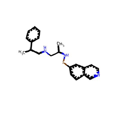 CC(CNCC(C)c1ccccc1)NSc1ccc2cnccc2c1